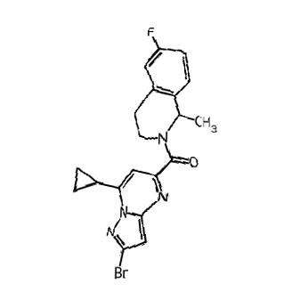 CC1c2ccc(F)cc2CCN1C(=O)c1cc(C2CC2)n2nc(Br)cc2n1